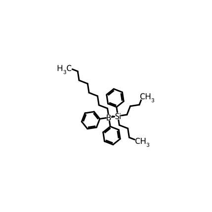 CCCCCCCC[B-](c1ccccc1)(c1ccccc1)[Si](CCCC)(CCCC)c1ccccc1